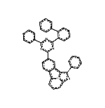 c1ccc(-c2nc(-c3ccc4c(c3)c3c(-c5ccccc5)nc5cccc4n53)nc(-c3ccccc3-c3ccccc3)n2)cc1